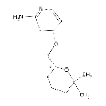 CC1(C)CCC[C@H](COc2ccnc(N)c2)O1